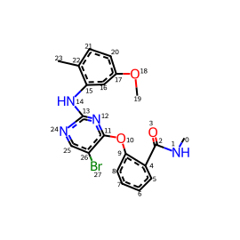 CNC(=O)c1ccccc1Oc1nc(Nc2cc(OC)ccc2C)ncc1Br